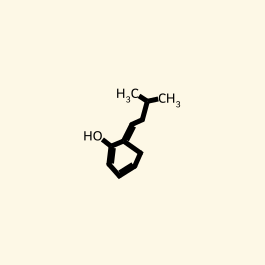 CC(C)CC=C1CC=CC=C1O